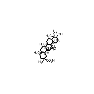 CC1(C(=O)O)CC[C@]2(C)CC[C@]3(C)C(=CC(=O)[C@@H]4[C@@]5(C)CC[C@H](O)C(C)(C)C5CC[C@]43C)[C@H]2C1